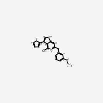 COc1cccc(Cc2nc(Cl)c3c(-c4cccs4)csc3n2)c1